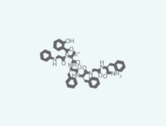 C[C@H]1OC(c2ccccc2O)N(C(=O)CNc2ccccc2)[C@@H]1C(=O)N[C@@H](Cc1ccccc1)C(=O)N[C@@H](Cc1ccccc1)C(=O)NCC(=O)N[C@@H](Cc1ccccc1)C(N)=O